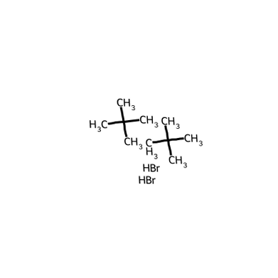 Br.Br.CC(C)(C)C.CC(C)(C)C